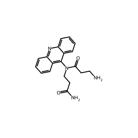 NCCC(=O)N(CCC(N)=O)c1c2ccccc2nc2ccccc12